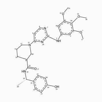 COc1cc(Nc2nccc(N3CCCC(C(=O)N[C@@H](C)c4ccc(O)cc4)C3)n2)cc(OC)c1OC